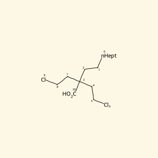 CCCCCCCCCC(CCCl)(CCCl)C(=O)O